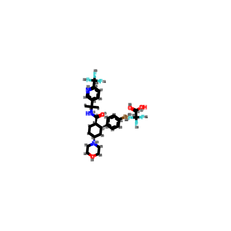 CC(C)(NC(=O)[C@@H]1CC[C@@H](N2CCOCC2)C[C@H]1c1ccc(Br)cc1)c1ccc(C(F)(F)F)nc1.O=C(O)C(F)(F)F